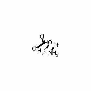 CCN.CO.ClCCl